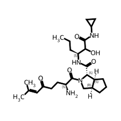 CCC[C@H](NC(=O)[C@@H]1[C@H]2CCC[C@H]2CN1C(=O)[C@@H](N)CCC(=O)C=C(C)C)C(O)C(=O)NC1CC1